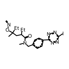 C=NOC(C)(CC)CC(CC)C(=O)N(C)Cc1ccc(-c2nnc(I)nn2)cc1